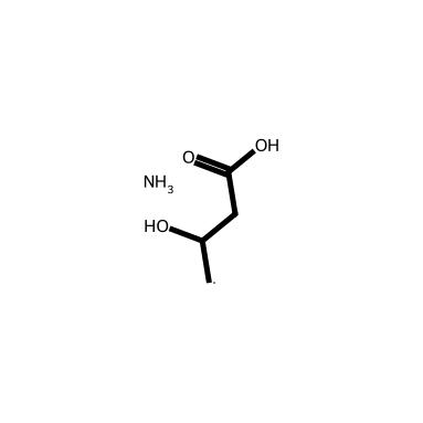 N.[CH2]C(O)CC(=O)O